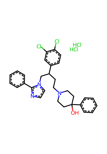 Cl.Cl.OC1(c2ccccc2)CCN(CCC(Cn2ccnc2-c2ccccc2)c2ccc(Cl)c(Cl)c2)CC1